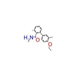 CCOc1ccc(-c2ccc[c]c2C(N)=O)cc1C